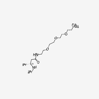 CC(C)COCCOCCOCCOCCNC(=O)C[C@H](NC(C)C)C(C)C